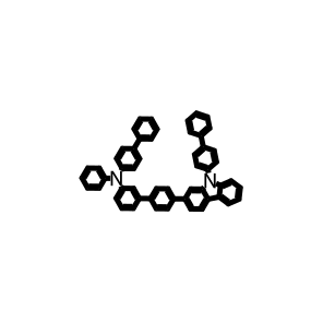 c1ccc(-c2ccc(N(c3ccccc3)c3cccc(-c4ccc(-c5ccc6c7ccccc7n(-c7ccc(-c8ccccc8)cc7)c6c5)cc4)c3)cc2)cc1